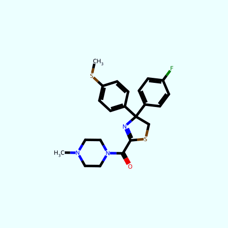 CSc1ccc(C2(c3ccc(F)cc3)CSC(C(=O)N3CCN(C)CC3)=N2)cc1